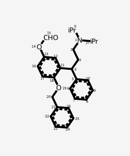 CC(C)N(CCC(c1ccccc1)c1cc(OC=O)ccc1OCc1ccccc1)C(C)C